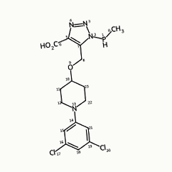 CPn1nnc(C(=O)O)c1COC1CCN(c2cc(Cl)cc(Cl)c2)CC1